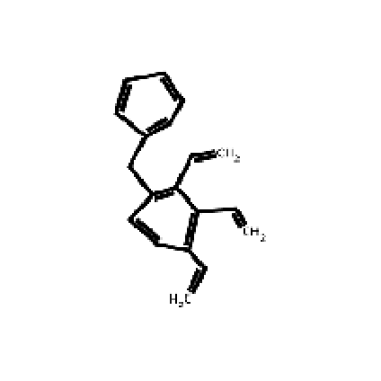 C=Cc1ccc(Cc2ccccc2)c(C=C)c1C=C